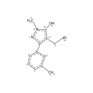 Cc1cccc(-c2nn(C)c(O)c2CC(C)C)c1